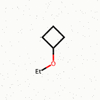 CCOC1[CH]CC1